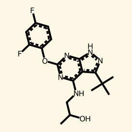 CC(O)CNc1nc(Oc2ccc(F)cc2F)nc2[nH]nc(C(C)(C)C)c12